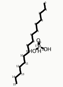 CCCCCCCCCCCCCCCC.O=[PH](O)O